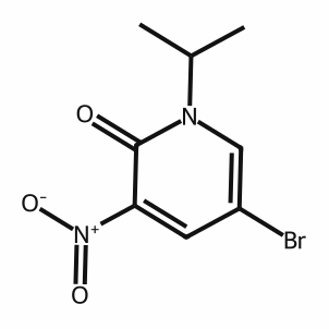 CC(C)n1cc(Br)cc([N+](=O)[O-])c1=O